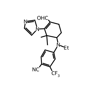 CCN(c1ccc(C#N)c(C(F)(F)F)c1)C1CCC(C=O)=C(n2ccnc2)C1(C)C